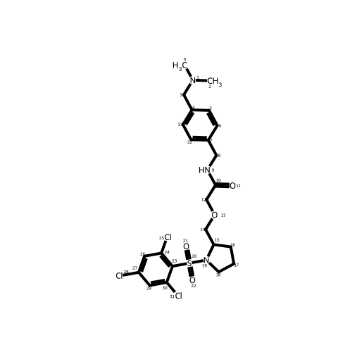 CN(C)Cc1ccc(CNC(=O)COCC2CCCN2S(=O)(=O)c2c(Cl)cc(Cl)cc2Cl)cc1